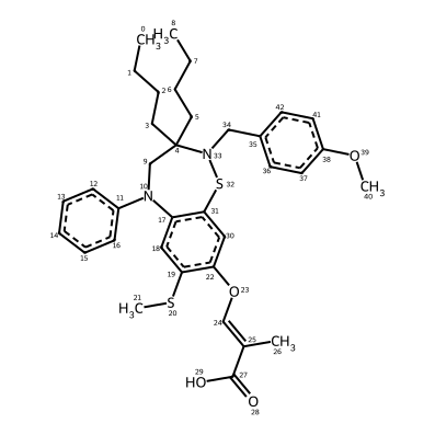 CCCCC1(CCCC)CN(c2ccccc2)c2cc(SC)c(O/C=C(\C)C(=O)O)cc2SN1Cc1ccc(OC)cc1